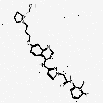 O=C(Cn1ccc(Nc2ncnc3cc(OCCCN4CCC[C@@H]4CO)ccc23)n1)Nc1cccc(F)c1F